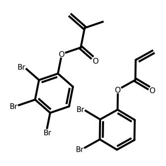 C=C(C)C(=O)Oc1ccc(Br)c(Br)c1Br.C=CC(=O)Oc1cccc(Br)c1Br